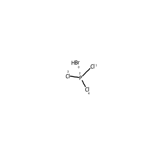 Br.ClP(Cl)Cl